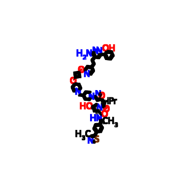 Cc1ncsc1-c1ccc([C@H](C)NC(=O)[C@@H]2C[C@@H](O)CN2C(=O)[C@@H](c2cc(N3CCC(CN4CCC(O[C@H]5C[C@H](Oc6cc(CCc7cc(-c8ccccc8O)nnc7N)ccn6)C5)CC4)CC3)no2)C(C)C)cc1